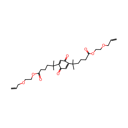 C=CCOCCOC(=O)CCCC(C)(C)C1=CC(=O)C(C(C)(C)CCCC(=O)OCCOCC=C)=CC1=O